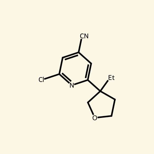 CCC1(c2cc(C#N)cc(Cl)n2)CCOC1